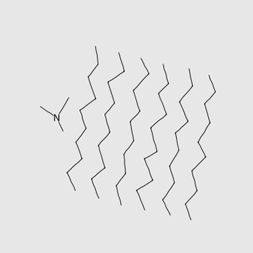 CCCCCCCCCC.CCCCCCCCCC.CCCCCCCCCC.CCCCCCCCCC.CCCCCCCCCC.CCCCCCCCCC.CN(C)C